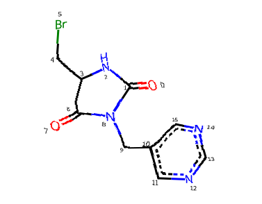 O=C1NC(CBr)C(=O)N1Cc1cncnc1